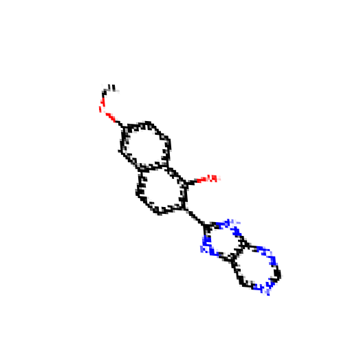 COc1ccc2c(O)c(-c3nc4cncnc4[nH]3)ccc2c1